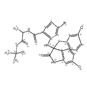 CC(NC(=O)c1ccc(Br)cc1NC1(Cc2cccc(Cl)c2)C(=O)Nc2cc(Cl)ccc21)C(=O)OC(C)(C)C